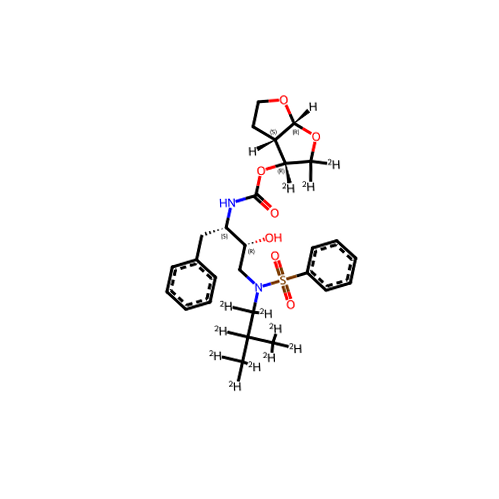 [2H]C([2H])([2H])C([2H])(C([2H])([2H])[2H])C([2H])([2H])N(C[C@@H](O)[C@H](Cc1ccccc1)NC(=O)O[C@]1([2H])[C@@H]2CCO[C@@H]2OC1([2H])[2H])S(=O)(=O)c1ccccc1